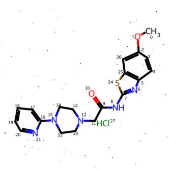 COc1ccc2nc(NC(=O)CN3CCN(c4ccccn4)CC3)sc2c1.Cl